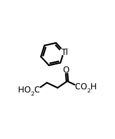 C1=C[CH]=[Tl][CH]=C1.O=C(O)CCC(=O)C(=O)O